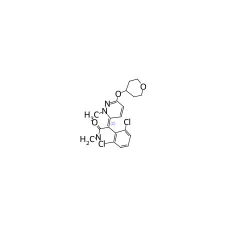 C=NC(=O)/C(=C1/C=CC(OC2CCOCC2)=NN1C)c1c(Cl)cccc1Cl